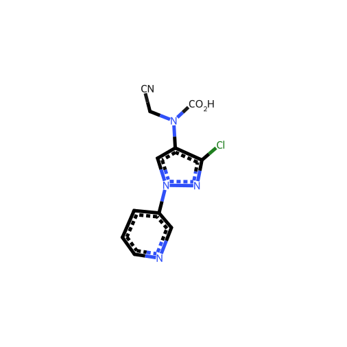 N#CCN(C(=O)O)c1cn(-c2cccnc2)nc1Cl